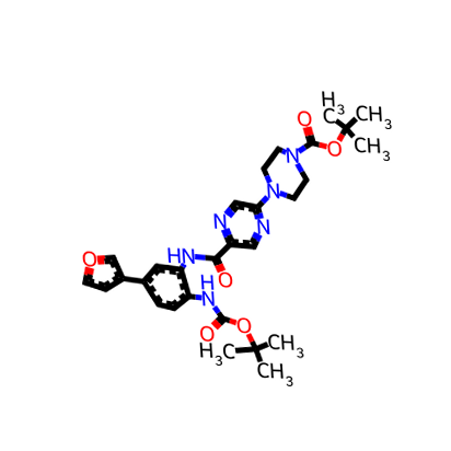 CC(C)(C)OC(=O)Nc1ccc(-c2ccoc2)cc1NC(=O)c1cnc(N2CCN(C(=O)OC(C)(C)C)CC2)cn1